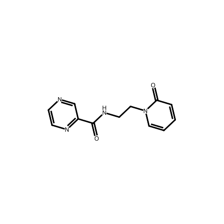 O=C(NCCn1ccccc1=O)c1cnccn1